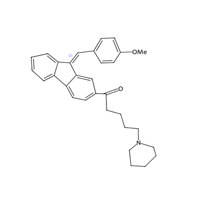 COc1ccc(/C=C2/c3ccccc3-c3ccc(C(=O)CCCCN4CCCCC4)cc32)cc1